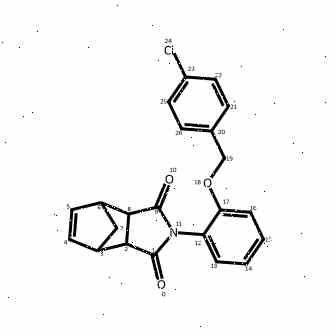 O=C1C2C3C=CC(C3)C2C(=O)N1c1ccccc1OCc1ccc(Cl)cc1